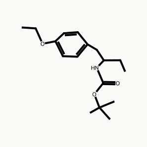 CCOc1ccc(CC(CC)NC(=O)OC(C)(C)C)cc1